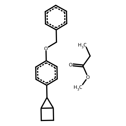 CCC(=O)OC.c1ccc(COc2ccc(C3C4CCC43)cc2)cc1